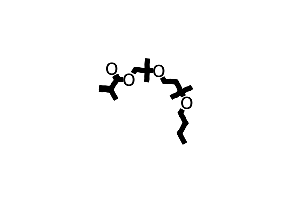 C=C(C)C(=O)OCC(C)(C)OCCC(C)(C)OCCCC